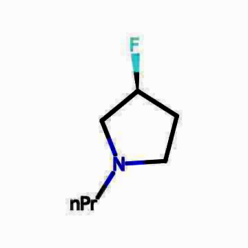 CCCN1CC[C@H](F)C1